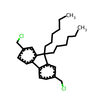 CCCCCCC1(CCCCCC)c2cc(CCl)ccc2-c2ccc(CCl)cc21